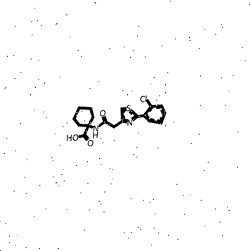 O=C(Cc1csc(-c2ccccc2Cl)n1)NC1(C(=O)O)CCCCC1